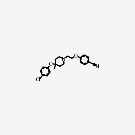 CC1(Oc2ccc(Cl)cc2)CCN(CCOc2ccc(C#N)cc2)CC1